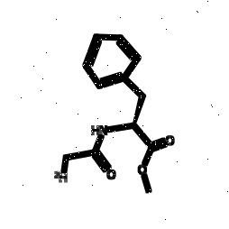 [2H]CC(=O)N[C@@H](Cc1ccccc1)C(=O)OC